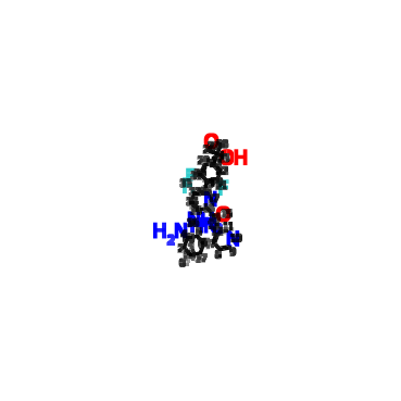 C[C@@H]1C[C@@H](N)C[C@H](c2ccncc2NC(=O)c2nc(-c3c(F)cc(C4(O)COC4)cc3F)c(F)cc2N)C1